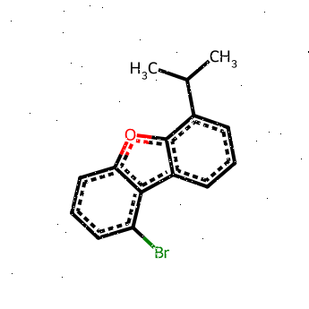 CC(C)c1cccc2c1oc1cccc(Br)c12